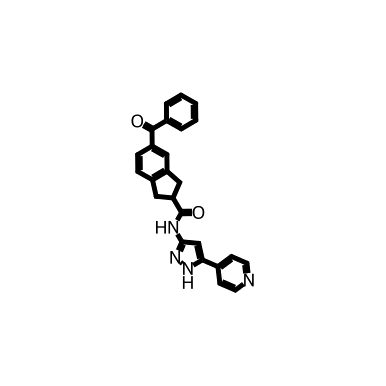 O=C(c1ccccc1)c1ccc2c(c1)CC(C(=O)Nc1cc(-c3ccncc3)[nH]n1)C2